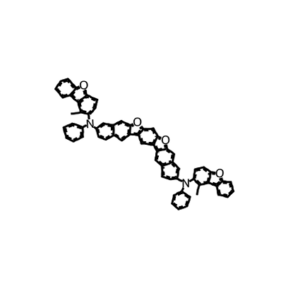 Cc1c(N(c2ccccc2)c2ccc3cc4c(cc3c2)oc2cc3oc5cc6cc(N(c7ccccc7)c7ccc8oc9ccccc9c8c7C)ccc6cc5c3cc24)ccc2oc3ccccc3c12